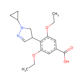 CCOc1cc(C(=O)O)cc(OCC)c1C1C=NN(C2CC2)C1